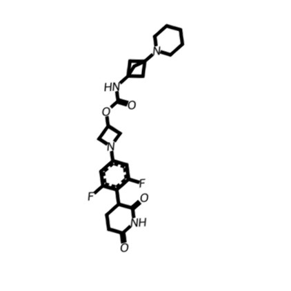 O=C1CCC(c2c(F)cc(N3CC(OC(=O)NC45CC(N6CCCCC6)(C4)C5)C3)cc2F)C(=O)N1